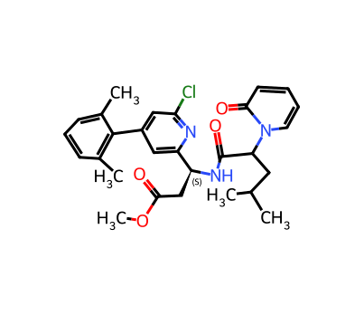 COC(=O)C[C@H](NC(=O)C(CC(C)C)n1ccccc1=O)c1cc(-c2c(C)cccc2C)cc(Cl)n1